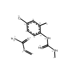 C=NC(N)=O.CNC(=N)Nc1ccc(Cl)cc1C